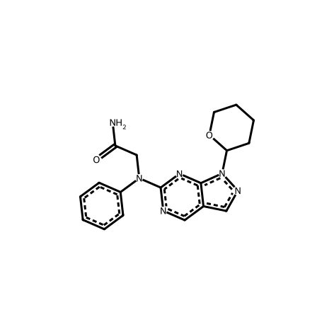 NC(=O)CN(c1ccccc1)c1ncc2cnn(C3CCCCO3)c2n1